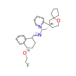 FCCO[C@H]1CCC(/C=N/CC[C@@]2(c3ccccn3)CCOC3(CCCC3)C2)c2ccccc21